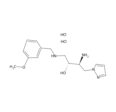 COc1cccc(CNC[C@@H](O)[C@@H](N)Cn2cccn2)c1.Cl.Cl